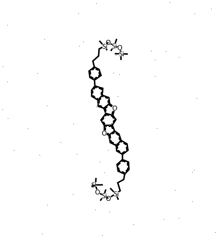 C[Si](C)(C)O[Si](C)(C)O[Si](C)(C)CCCc1ccc(-c2ccc3cc4c(cc3c2)oc2cc3c(cc24)oc2cc4cc(-c5ccc(CCC[Si](C)(C)O[Si](C)(C)O[Si](C)(C)C)cc5)ccc4cc23)cc1